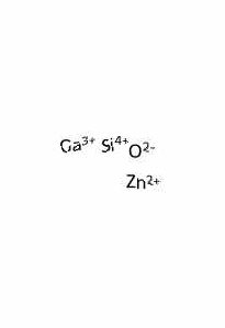 [Ga+3].[O-2].[Si+4].[Zn+2]